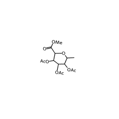 COC(=O)C1OC(C)C(OC(C)=O)C(OC(C)=O)C1OC(C)=O